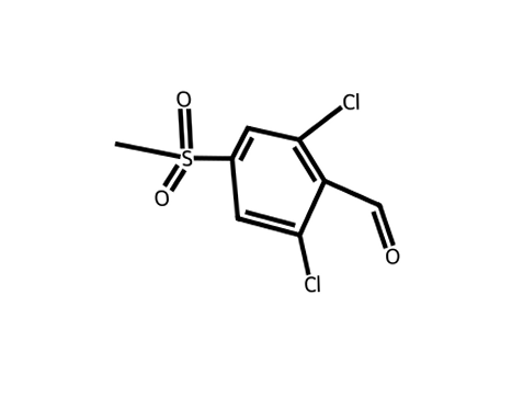 CS(=O)(=O)c1cc(Cl)c(C=O)c(Cl)c1